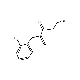 O=C(CCO)C(=O)Cc1ccccc1Br